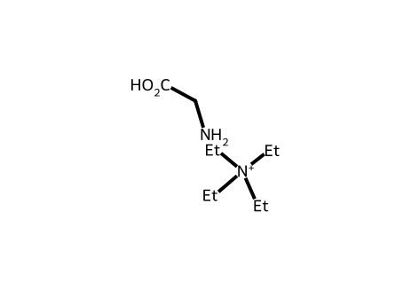 CC[N+](CC)(CC)CC.NCC(=O)O